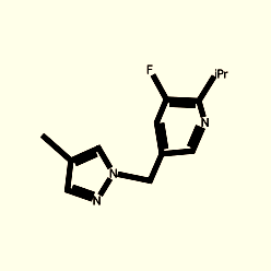 Cc1cnn(Cc2cnc(C(C)C)c(F)c2)c1